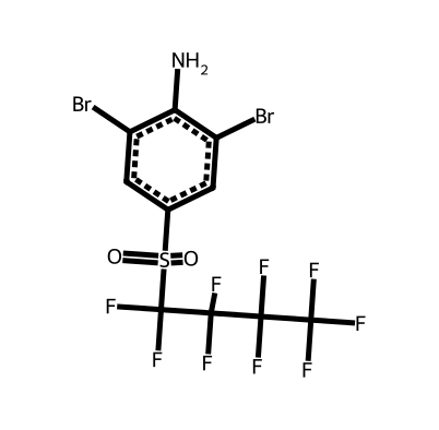 Nc1c(Br)cc(S(=O)(=O)C(F)(F)C(F)(F)C(F)(F)C(F)(F)F)cc1Br